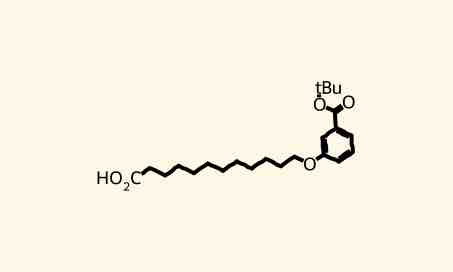 CC(C)(C)OC(=O)c1cccc(OCCCCCCCCCCCC(=O)O)c1